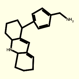 NCc1ccc(C2CCCC3NC4CCCC=C4C=C32)cc1